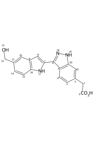 O=C(O)Cc1ccc2c(-c3cc4cc(CO)ccc4[nH]3)n[nH]c2c1